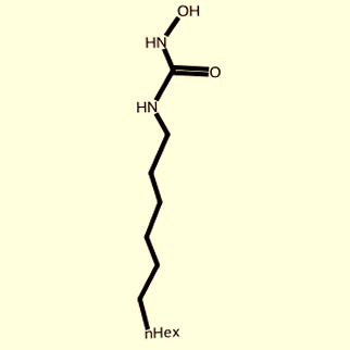 CCCCCCCCCCCCNC(=O)NO